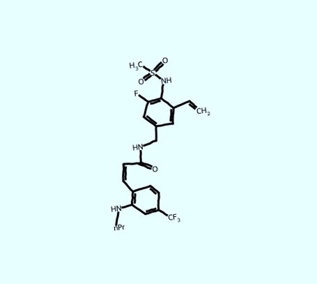 C=Cc1cc(CNC(=O)/C=C\c2ccc(C(F)(F)F)cc2NCCC)cc(F)c1NS(C)(=O)=O